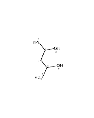 CCCC(O)CC(O)C(=O)O